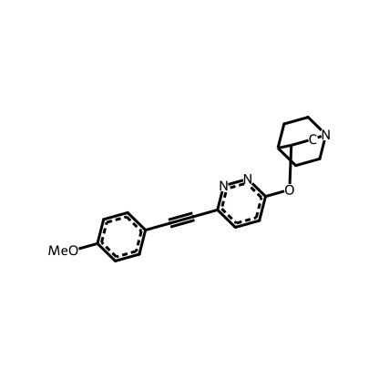 COc1ccc(C#Cc2ccc(OC3CN4CCC3CC4)nn2)cc1